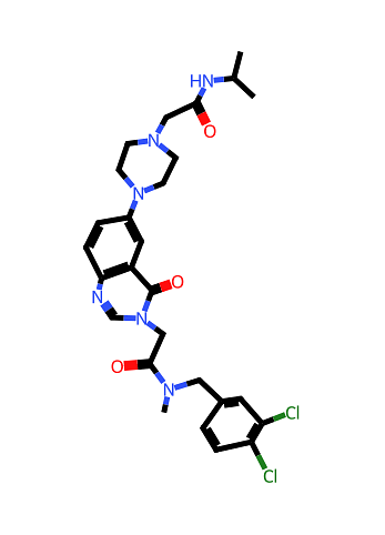 CC(C)NC(=O)CN1CCN(c2ccc3ncn(CC(=O)N(C)Cc4ccc(Cl)c(Cl)c4)c(=O)c3c2)CC1